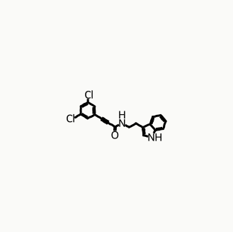 O=C(C#Cc1cc(Cl)cc(Cl)c1)NCCc1c[nH]c2ccccc12